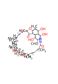 CO[C@H]1/C=C/O[C@@]2(C)Oc3c(C)c(O)c4c(O)c(c(C=O)c(O)c4c3C2=O)NC(=O)/C(C)=C\C=C\[C@H](C)[C@H](O)[C@@H](C)[C@@H](O)[C@@H](C)[C@H](OC(C)=O)[C@@H]1C